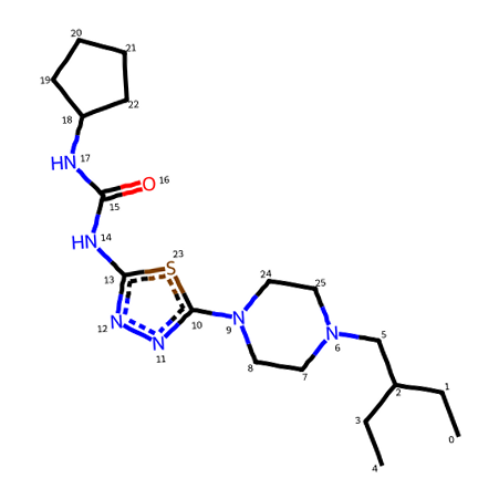 CCC(CC)CN1CCN(c2nnc(NC(=O)NC3CCCC3)s2)CC1